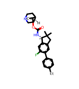 CCc1ccc(-c2cc3c(cc2F)[C@H](NC(=O)O[C@H]2CN4CCC2CC4)C(C)(C)C3)cc1